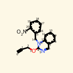 C#CCOC1N=Cc2ccccc2N1Cc1ccccc1[N+](=O)[O-]